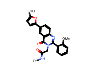 COc1ccccc1-c1nc2ccc(-c3ccc(C=O)o3)cc2c(=O)n1CC(=O)NC(C)C